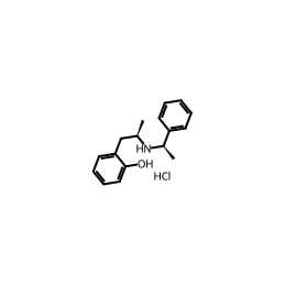 C[C@H](Cc1ccccc1O)N[C@H](C)c1ccccc1.Cl